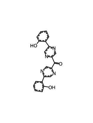 O=C(c1cnc(-c2ccccc2O)cn1)c1cnc(-c2ccccc2O)cn1